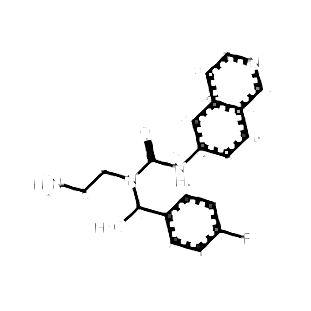 CC(c1ccc(F)cc1)N(CCN)C(=O)Nc1ccc2cnccc2c1